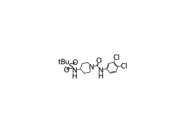 CC(C)(C)S(=O)(=O)NC1CCN(C(=O)Nc2ccc(Cl)c(Cl)c2)CC1